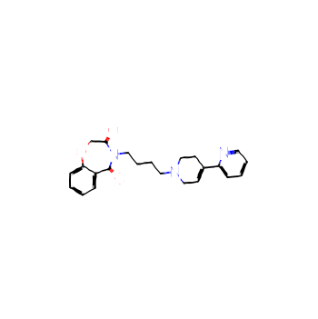 O=C1COc2ccccc2C(=O)N1CCCCN1CC=C(c2ccccn2)CC1